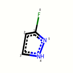 Fc1[c]c[nH]n1